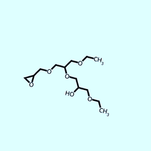 CCOCC(O)COC(COCC)COCC1CO1